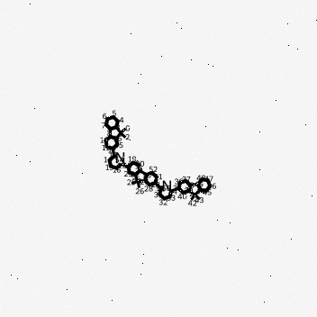 CC1(C)c2ccccc2-c2ccc(-c3cccc(-c4ccc5c(c4)C(C)(C)c4cc(-c6cccc(-c7ccc8c(c7)C(C)(C)c7ccccc7-8)n6)ccc4-5)n3)cc21